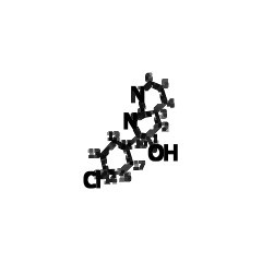 Oc1cc2cccnc2nc1-c1ccc(Cl)cc1